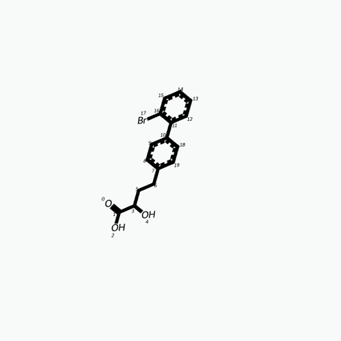 O=C(O)C(O)CCc1ccc(-c2ccccc2Br)cc1